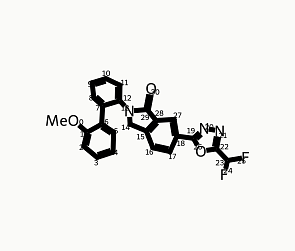 COc1ccccc1-c1ccccc1N1Cc2ccc(-c3nnc(C(F)F)o3)cc2C1=O